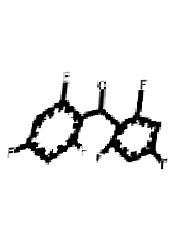 [O]C(c1c(F)cc(F)cc1F)c1c(F)cc(F)cc1F